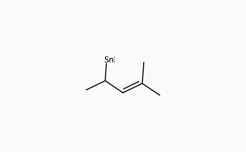 CC(C)=C[CH](C)[Sn]